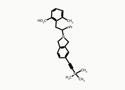 CCCC(Cc1c(C)cccc1C(=O)O)N1Cc2ccc(C#C[Si](C)(C)C)cc2C1